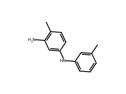 Cc1cccc(Nc2ccc(C)c(N)c2)c1